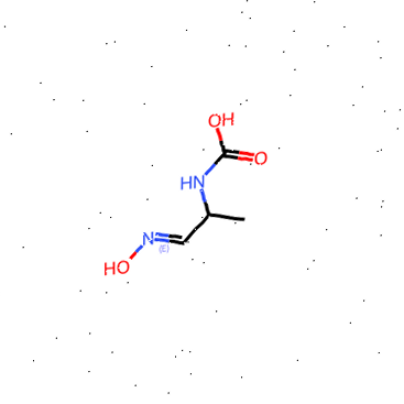 CC(/C=N/O)NC(=O)O